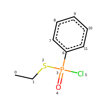 CCSP(=O)(Cl)c1ccccc1